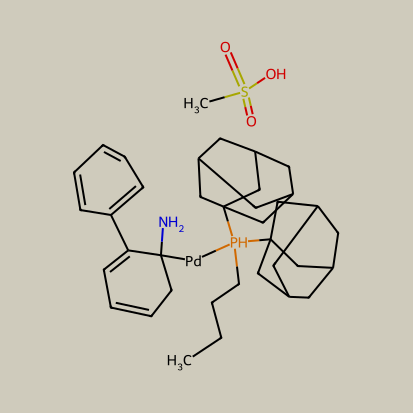 CCCC[PH]([Pd][C]1(N)CC=CC=C1c1ccccc1)(C12CC3CC(CC(C3)C1)C2)C12CC3CC(CC(C3)C1)C2.CS(=O)(=O)O